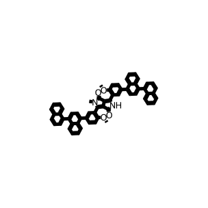 COc1ccc(-c2ccc(-c3cccc4ccccc34)c3ccccc23)cc1C1=C2C(=O)N(C)C(c3cc(-c4ccc(-c5cccc6ccccc56)c5ccccc45)ccc3OC)=C2C(=O)N1